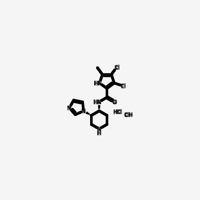 Cc1[nH]c(C(=O)N[C@@H]2CCNC[C@@H]2n2ccnc2)c(Cl)c1Cl.Cl.Cl